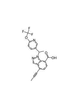 CC#Cc1ccc(C(=O)O)c2c1cnn2C(C)c1ccc(OC(F)(F)F)nc1